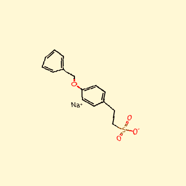 O=S(=O)([O-])CCc1ccc(OCc2ccccc2)cc1.[Na+]